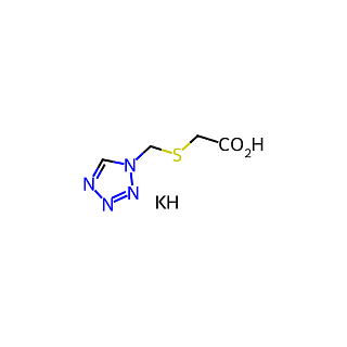 O=C(O)CSCn1cnnn1.[KH]